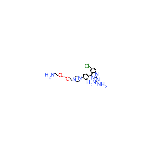 NCCOCCOCCN1CCN(c2ccc(-c3nc(N=C(N)N)nc4ccc(Cl)cc34)cc2)CC1